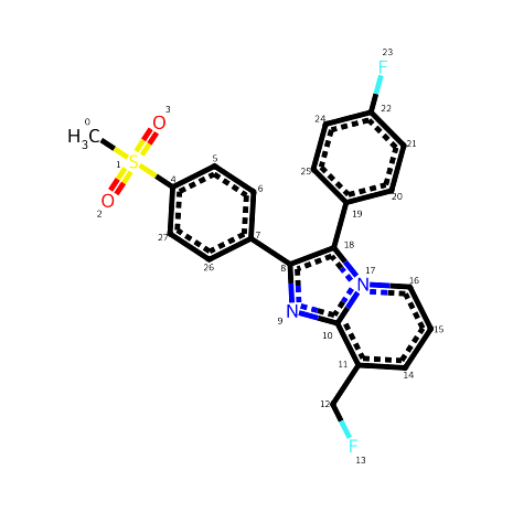 CS(=O)(=O)c1ccc(-c2nc3c(CF)cccn3c2-c2ccc(F)cc2)cc1